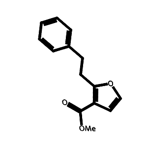 COC(=O)c1ccoc1CCc1ccccc1